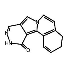 O=c1[nH]ncc2cn3ccc4c(c3c12)C=CCC4